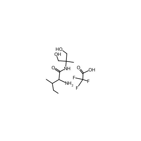 CCC(C)C(N)C(=O)NC(C)(CO)CO.O=C(O)C(F)(F)F